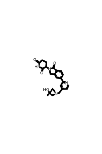 CC1(O)CN(Cc2ccnc(-c3ccc4c(c3)CN(C3CCC(=O)NC3=O)C4=O)c2)C1